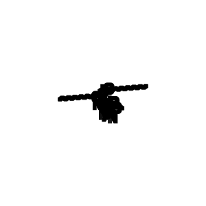 CCCCCCCCCCCCOc1cc(/C(C#N)=N/c2sc(/N=C(/C)C#N)c(CC)c2C(=O)OCC)c(OCCCCCCCCCCCC)cc1C